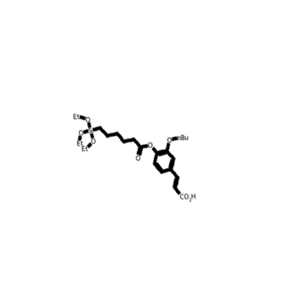 CCCCOc1cc(/C=C/C(=O)O)ccc1OC(=O)CCCCC[Si](OCC)(OCC)OCC